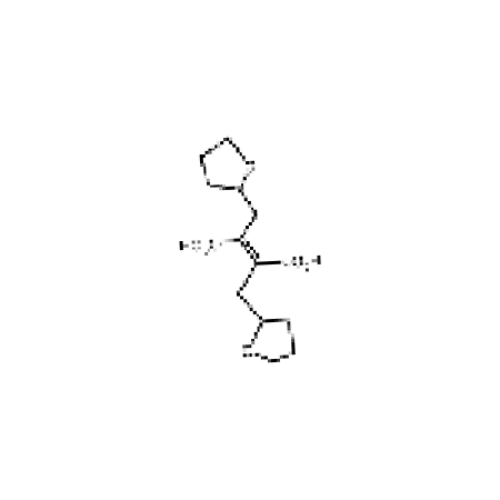 O=C(O)/C(CC1CCCO1)=C(\CC1CCCO1)C(=O)O